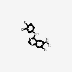 CCNc1cc2c(Nc3ccc(F)c(Cl)c3)ncnc2cc1CC